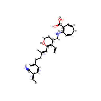 C=CC1=C(/C=C(\C)CCC(=C)/C=C\C(C#N)=C/C)OCC[C@H]1CNC1=C(C(=O)O)C=CCC=C1